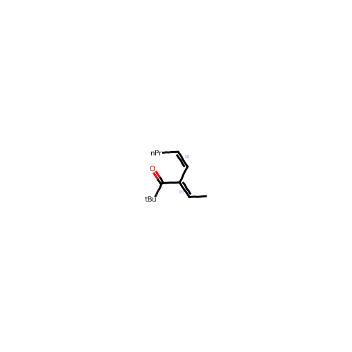 C/C=C(\C=C/CCC)C(=O)C(C)(C)C